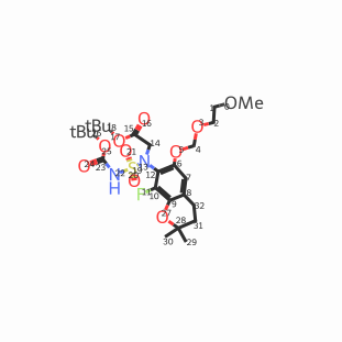 COCCOCOc1cc2c(c(F)c1N(CC(=O)OC(C)(C)C)S(=O)(=O)NC(=O)OC(C)(C)C)OC(C)(C)CC2